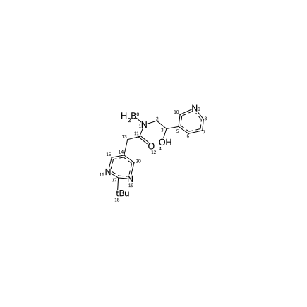 BN(CC(O)c1cccnc1)C(=O)Cc1cnc(C(C)(C)C)nc1